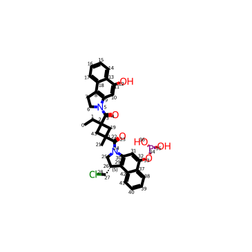 CCC1(C(=O)N2CCc3c2cc(O)c2ccccc32)CC(C)(C(=O)N2C[C@@H](CCl)c3c2cc(OP(O)O)c2ccccc32)C1